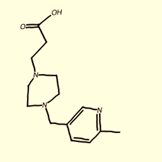 Cc1ccc(CN2CCN(CCC(=O)O)CC2)cn1